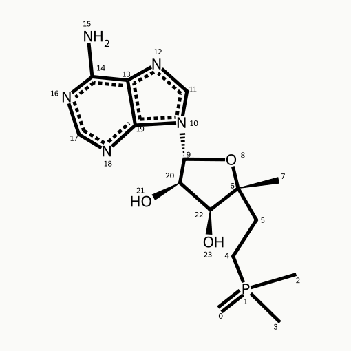 C=P(C)(C)CC[C@@]1(C)O[C@@H](n2cnc3c(N)ncnc32)[C@H](O)[C@@H]1O